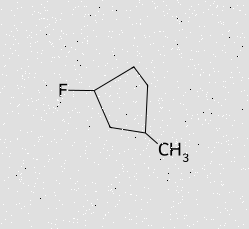 CC1CCC(F)C1